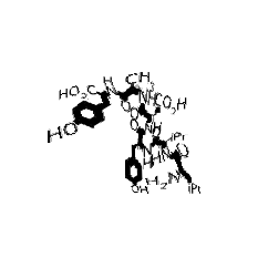 CC(C)C[C@H](N)C(=O)N[C@H](C(=O)N[C@@H](Cc1ccc(O)cc1)C(=O)N[C@@H](CC(=O)O)C(=O)N[C@@H](C)C(=O)N[C@@H](Cc1ccc(O)cc1)C(=O)O)C(C)C